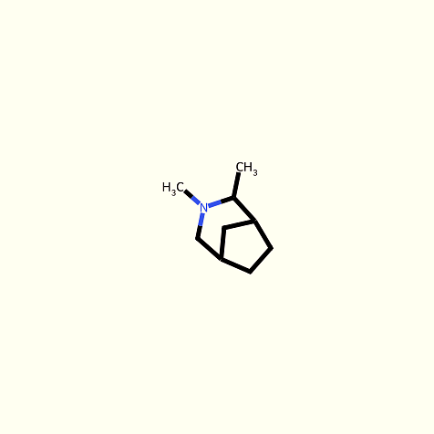 CC1C2CCC(C2)CN1C